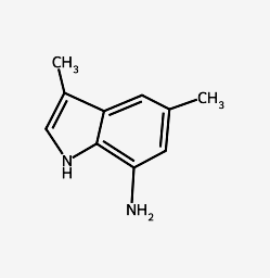 Cc1cc(N)c2[nH]cc(C)c2c1